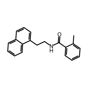 Cc1ccccc1C(=O)NCCc1cccc2ccccc12